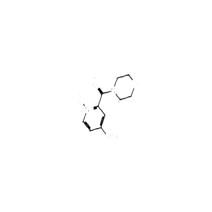 CC(C)(C)c1cc[n+]([O-])c(C(=O)N2CCOCC2)c1